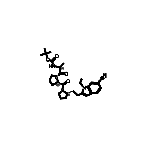 CCn1c(CC[C@@H]2CCCN2C(=O)[C@H]2CCCN2C(=O)[C@H](C)NC(=O)OC(C)(C)C)cc2ccc(C#N)cc21